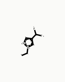 CCn1[c]c(C(F)F)[c]n1